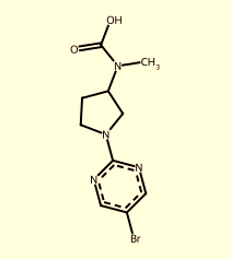 CN(C(=O)O)C1CCN(c2ncc(Br)cn2)C1